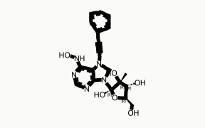 C[C@@]1(O)[C@H](O)[C@@H](CO)O[C@@]1(O)N1CN(C#Cc2ccccc2)c2c(NO)ncnc21